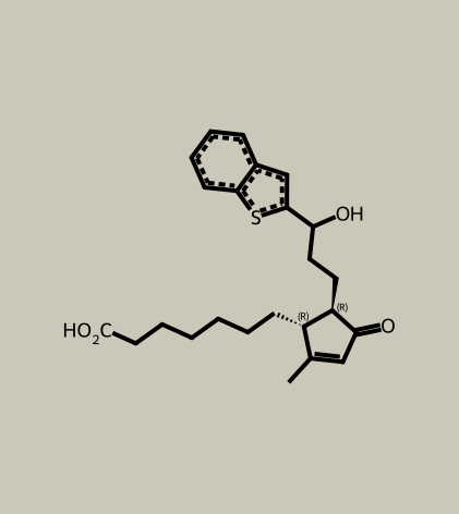 CC1=CC(=O)[C@H](CCC(O)c2cc3ccccc3s2)[C@H]1CCCCCCC(=O)O